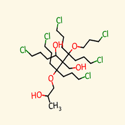 CC(O)COC(CCCCl)(CCCCl)C(CO)(C(O)CCCCl)C(CCCCl)(CCCCl)OCCCCl